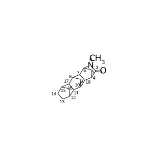 CN1C(=O)C2CC1C1C3CC(C4C5CCC(C5)C34)C21